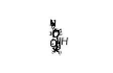 CC(C)(C)OC(=O)N[C@H]1CC[C@H](C#N)CC1